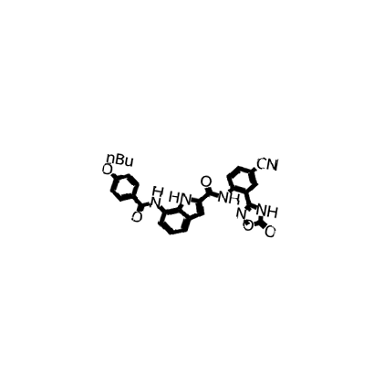 CCCCOc1ccc(C(=O)Nc2cccc3cc(C(=O)Nc4ccc(C#N)cc4-c4noc(=O)[nH]4)[nH]c23)cc1